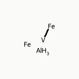 [AlH3].[Fe].[V][Fe]